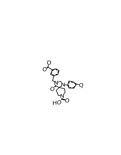 COC(=O)c1cccc(CN2CN(c3ccc(OC)cc3)C3(CCN(C(=O)O)CC3)C2=O)c1